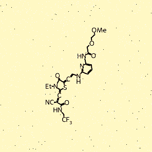 CCn1c(=C=C(C#N)C(=O)NCC(F)(F)F)sc(=C=CNc2cccc(NC(=O)COCCOC)n2)c1=O